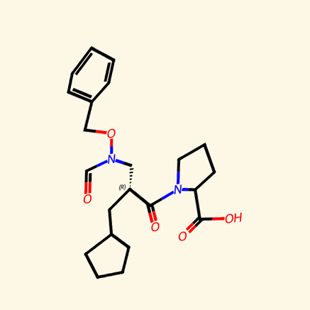 O=CN(C[C@@H](CC1CCCC1)C(=O)N1CCCC1C(=O)O)OCc1ccccc1